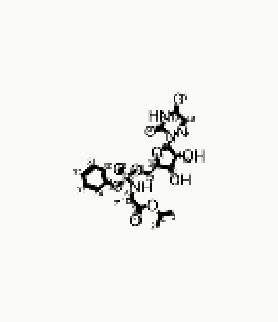 CC(C)OC(=O)[C@H](C)NP(=O)(OC[C@H]1O[C@@H](n2ncc(=O)[nH]c2=O)[C@@H](O)[C@H]1O)Oc1ccccc1